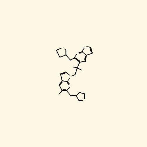 CC(C)(C)c1cc2ccn(CC(C)(C)c3cc4cc[nH]c4nc3CC3CCNC3)c2nc1CC1CCOC1